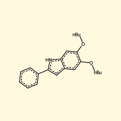 CCCCOc1cc2cc(-c3ccccc3)[nH]c2cc1OCCCC